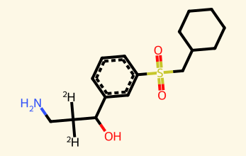 [2H]C([2H])(CN)C(O)c1cccc(S(=O)(=O)CC2CCCCC2)c1